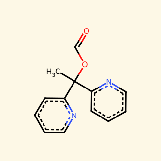 CC(OC=O)(c1ccccn1)c1ccccn1